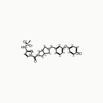 CS(=O)(=O)Nc1ccn(C(=O)N2CC3CN(Cc4cccc(Oc5ccc(Cl)cc5)c4)CC3C2)n1